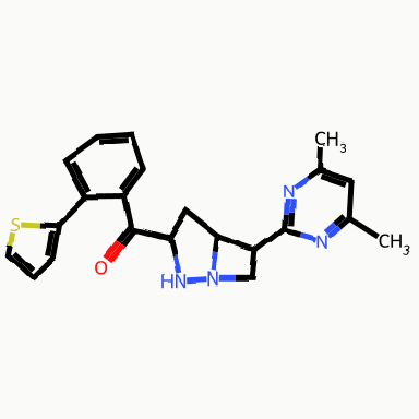 Cc1cc(C)nc(C2CN3NC(C(=O)c4ccccc4-c4cccs4)CC23)n1